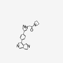 O=C(Cn1cc(-c2ccc(-c3cncc4ccncc34)cc2)cn1)N1CCCC1